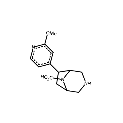 COc1cc(C2CC3CNCC2N3C(=O)O)ccn1